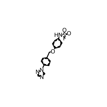 O=S(=O)(F)Nc1ccc(OCc2ccc(-n3cncn3)cc2)cc1